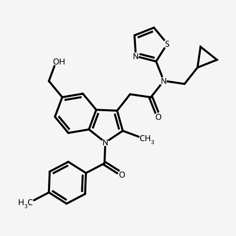 Cc1ccc(C(=O)n2c(C)c(CC(=O)N(CC3CC3)c3nccs3)c3cc(CO)ccc32)cc1